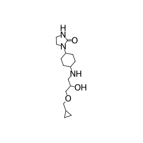 O=C1NCCN1C1CCC(NCC(O)COCC2CC2)CC1